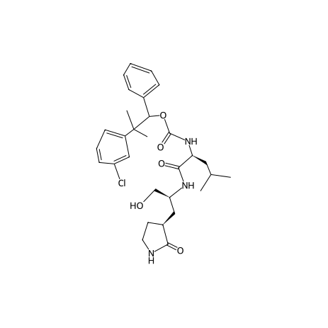 CC(C)C[C@H](NC(=O)OC(c1ccccc1)C(C)(C)c1cccc(Cl)c1)C(=O)N[C@H](CO)C[C@@H]1CCNC1=O